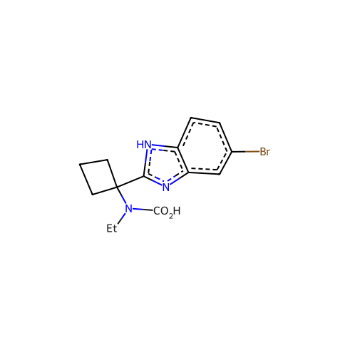 CCN(C(=O)O)C1(c2nc3cc(Br)ccc3[nH]2)CCC1